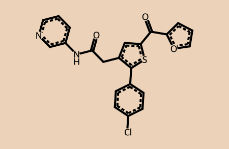 O=C(Cc1cc(C(=O)c2ccco2)sc1-c1ccc(Cl)cc1)Nc1cccnc1